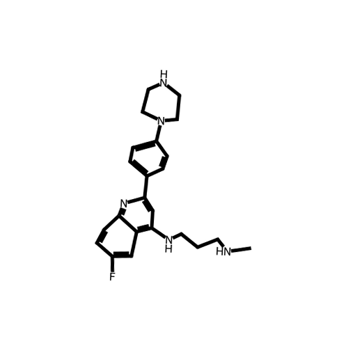 CNCCCNc1cc(-c2ccc(N3CCNCC3)cc2)nc2ccc(F)cc12